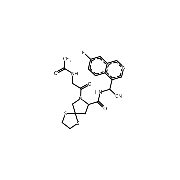 N#CC(NC(=O)C1CC2(CN1C(=O)CNC(=O)C(F)(F)F)SCCS2)c1cncc2cc(F)ccc12